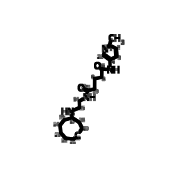 Cc1ccc(NC(=O)CCCC(=O)NCCNC2CCCCCCCC2)cn1